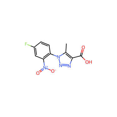 Cc1c(C(=O)O)nnn1-c1ccc(F)cc1[N+](=O)[O-]